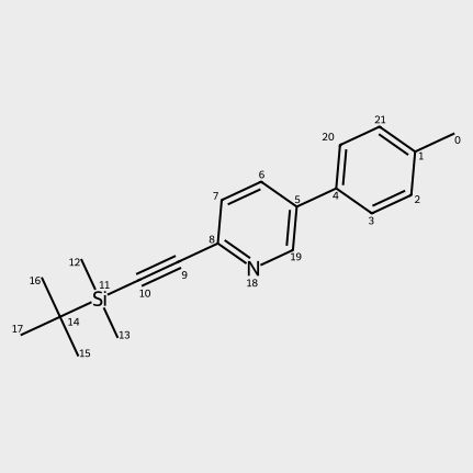 Cc1ccc(-c2ccc(C#C[Si](C)(C)C(C)(C)C)nc2)cc1